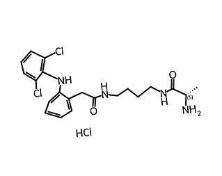 C[C@H](N)C(=O)NCCCCNC(=O)Cc1ccccc1Nc1c(Cl)cccc1Cl.Cl